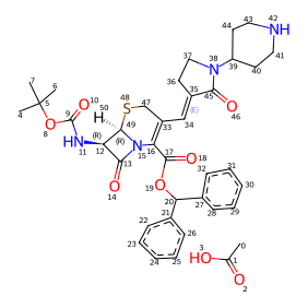 CC(=O)O.CC(C)(C)OC(=O)N[C@@H]1C(=O)N2C(C(=O)OC(c3ccccc3)c3ccccc3)=C(/C=C3\CCN(C4CCNCC4)C3=O)CS[C@H]12